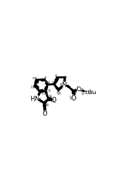 CC(C)(C)OC(=O)N1CC=C(c2cccc3c2C(=O)C(=O)N3)C1